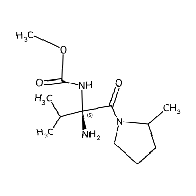 COC(=O)N[C@](N)(C(=O)N1CCCC1C)C(C)C